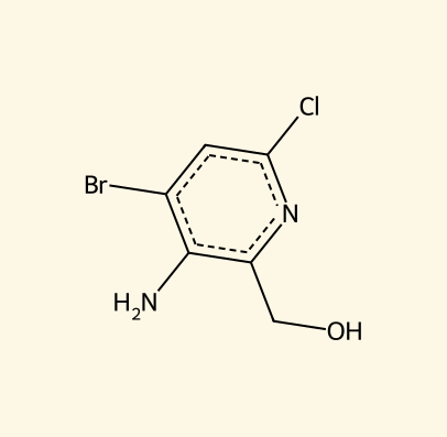 Nc1c(Br)cc(Cl)nc1CO